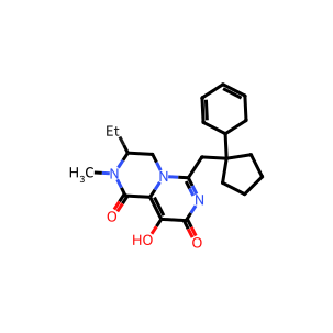 CCC1Cn2c(CC3(C4C=CC=CC4)CCCC3)nc(=O)c(O)c2C(=O)N1C